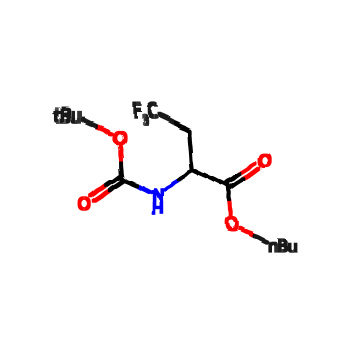 CCCCOC(=O)C(CC(F)(F)F)NC(=O)OC(C)(C)C